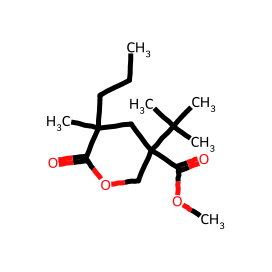 CCCC1(C)CC(C(=O)OC)(C(C)(C)C)COC1=O